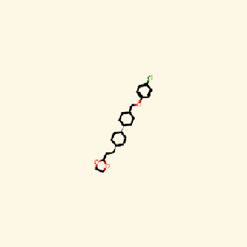 Clc1ccc(OCC2CCC([C@H]3CC[C@H](CCC4OCCO4)CC3)CC2)cc1